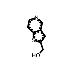 OCc1cc2cnccc2s1